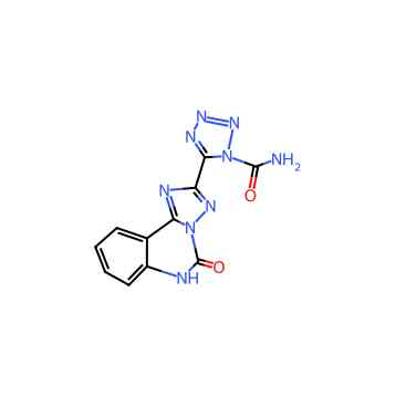 NC(=O)n1nnnc1-c1nc2c3ccccc3[nH]c(=O)n2n1